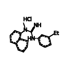 CCc1cccc(NC(=N)N(C)c2cccc3ccccc23)c1.Cl